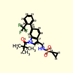 CC(C)(C)C(=O)n1cc(CNS(=O)(=O)C2CC2)c2ccc(-c3ccccc3C(F)(F)F)cc21